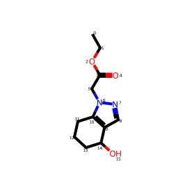 CCOC(=O)Cn1ncc2c1CCCC2O